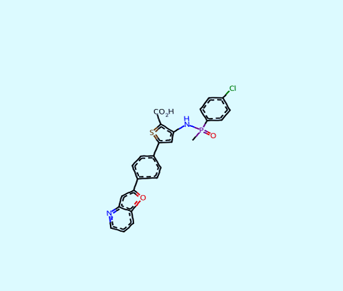 CP(=O)(Nc1cc(-c2ccc(-c3cc4ncccc4o3)cc2)sc1C(=O)O)c1ccc(Cl)cc1